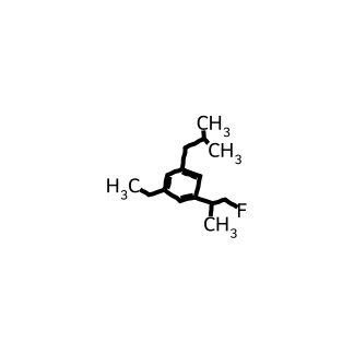 CCc1cc(CC(C)C)cc([C](C)CF)c1